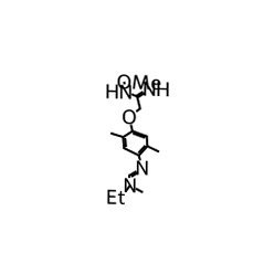 CCN(C)C=Nc1cc(C)c(OCC(=N)NOC)cc1C